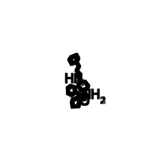 NC(=O)C(c1ccccc1)(c1ccccc1)[C@H]1CCC[C@@H](NCCCc2ccccc2)C1